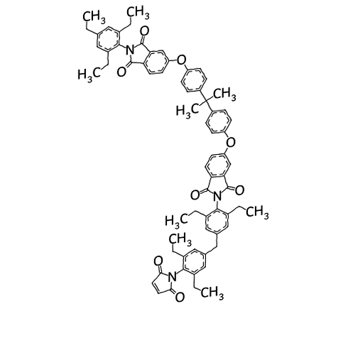 CCc1cc(CC)c(N2C(=O)c3ccc(Oc4ccc(C(C)(C)c5ccc(Oc6ccc7c(c6)C(=O)N(c6c(CC)cc(Cc8cc(CC)c(N9C(=O)C=CC9=O)c(CC)c8)cc6CC)C7=O)cc5)cc4)cc3C2=O)c(CC)c1